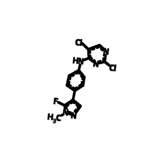 Cn1ncc(-c2ccc(Nc3nc(Cl)ncc3Cl)cc2)c1F